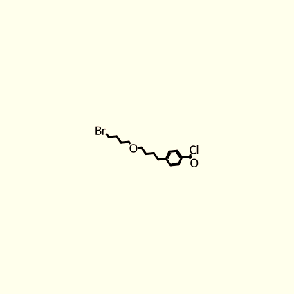 O=C(Cl)c1ccc(CCCCOCCCCBr)cc1